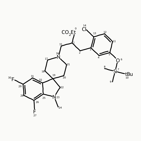 CCOC(=O)C(Cc1cc(O[Si](C)(C)C(C)(C)C)ccc1Cl)CN1CCC2(CC1)CN(C)c1c(F)cc(F)cc12